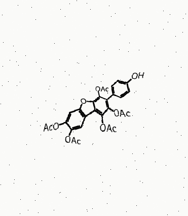 CC(=O)Oc1cc2oc3c(OC(C)=O)c(-c4ccc(O)cc4)c(OC(C)=O)c(OC(C)=O)c3c2cc1OC(C)=O